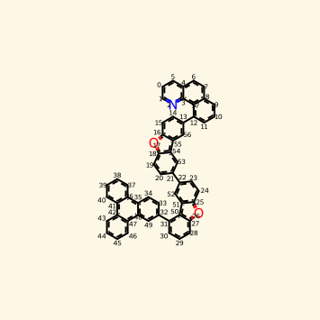 c1cnc2c(c1)ccc1cccc(-c3ccc4oc5ccc(-c6ccc7oc8cccc(-c9ccc%10c%11ccccc%11c%11ccccc%11c%10c9)c8c7c6)cc5c4c3)c12